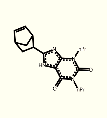 CCCn1c(=O)c2[nH]c(C3CC4C=CC3C4)nc2n(CCC)c1=O